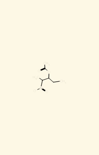 CCC(OC(C)=O)C(C)[N+](=O)[O-]